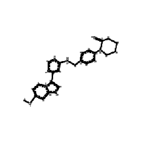 COc1ccn2c(-c3cc(NCc4ccc(N5CCCCC5=O)cc4)ncn3)cnc2c1